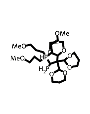 COCCC[PH](CCCOC)(CCCOC)C(P)C(C1OCCCO1)(C1OCCCO1)C1OCCCO1